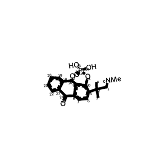 CNCC(C)(C)c1ccc2c(c1OP(=O)(O)O)C(=O)c1ccccc1C2=O